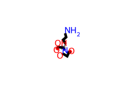 NCCCC[C@@H](C(=O)O)N1C(=O)CC1=O